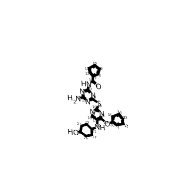 Nc1nc(NC(=O)c2ccccc2)nc(Sc2ncc(NC3CCC(O)CC3)c(Oc3ccccc3)n2)n1